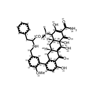 CCOC(=O)C(Cc1ccccc1)NCc1ccc(OC)c(-c2ccc(O)c3c2C[C@@H]2C[C@@H]4C(N(C)C)C(O)=C(C(N)=O)C(=O)[C@]4(O)C(O)=C2C3=O)c1